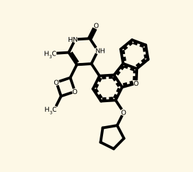 CC1=C(C2OC(C)O2)C(c2ccc(OC3CCCC3)c3oc4ccccc4c23)NC(=O)N1